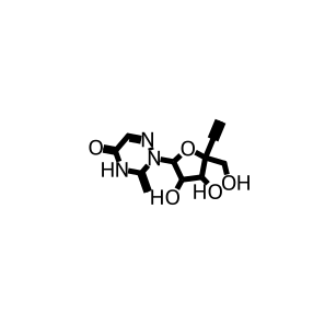 C#CC1(CO)OC(N2N=CC(=O)NC2=C)C(O)C1O